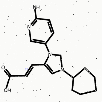 Nc1ccc(N2CN(C3CCCCC3)C=C2/C=C/C(=O)O)cn1